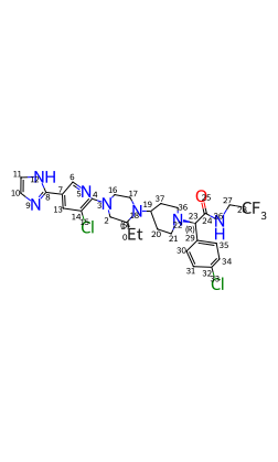 CC[C@H]1CN(c2ncc(-c3ncc[nH]3)cc2Cl)CCN1C1CCN([C@@H](C(=O)NCC(F)(F)F)c2ccc(Cl)cc2)CC1